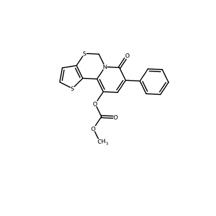 COC(=O)Oc1cc(-c2ccccc2)c(=O)n2c1-c1sccc1SC2